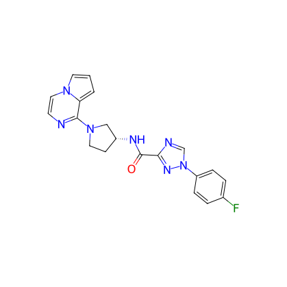 O=C(N[C@@H]1CCN(c2nccn3cccc23)C1)c1ncn(-c2ccc(F)cc2)n1